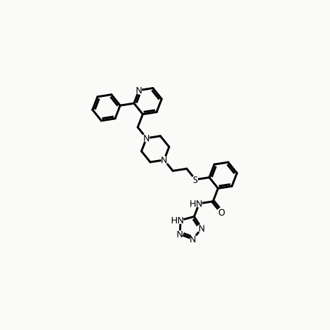 O=C(Nc1nnn[nH]1)c1ccccc1SCCN1CCN(Cc2cccnc2-c2ccccc2)CC1